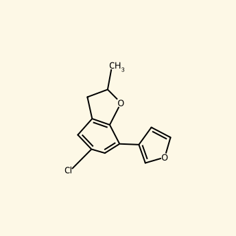 CC1Cc2cc(Cl)cc(-c3ccoc3)c2O1